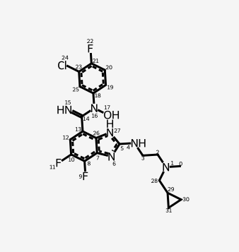 CN(CCNc1nc2c(F)c(F)cc(C(=N)N(O)c3ccc(F)c(Cl)c3)c2[nH]1)CC1CC1